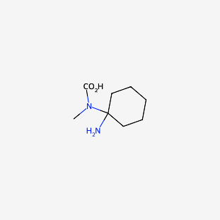 CN(C(=O)O)C1(N)CCCCC1